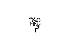 CCC[C@@H](C)NC(=O)C(C)(C)CC